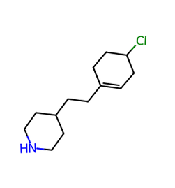 ClC1CC=C(CCC2CCNCC2)CC1